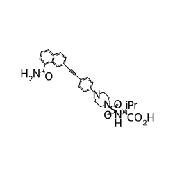 CC(C)[C@@H](NS(=O)(=O)N1CCN(c2ccc(C#Cc3ccc4cccc(C(N)=O)c4c3)cc2)CC1)C(=O)O